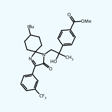 COC(=O)c1ccc(C(C)(O)CN2C(=O)C(c3cccc(C(F)(F)F)c3)=NC23CCC(C(C)(C)C)CC3)cc1